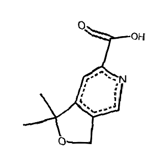 CC1(C)OCc2cnc(C(=O)O)cc21